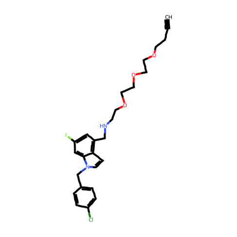 C#CCCOCCOCCOCCNCc1cc(F)cc2c1ccn2Cc1ccc(Cl)cc1